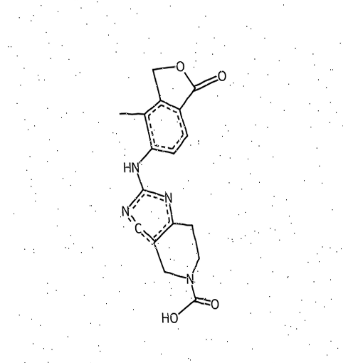 Cc1c(Nc2ncc3c(n2)CCN(C(=O)O)C3)ccc2c1COC2=O